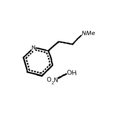 CNCCc1ccccn1.O=[N+]([O-])O